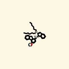 CCCCCCP(CCCCCC)C1=Cc2ccccc2[CH]1[Ti+2][c]1cccc2c1Cc1ccccc1-2.[Cl-].[Cl-]